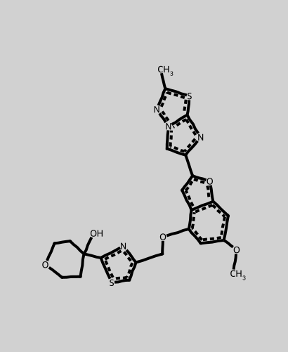 COc1cc(OCc2csc(C3(O)CCOCC3)n2)c2cc(-c3cn4nc(C)sc4n3)oc2c1